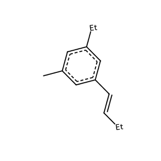 CCC=Cc1cc(C)cc(CC)c1